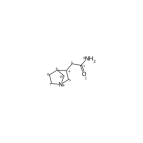 NC(=O)CC1CN2CCC1C2